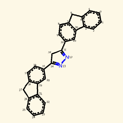 c1ccc2c(c1)Cc1ccc(C3=NN=C(c4ccc5c(c4)-c4ccccc4C5)C3)cc1-2